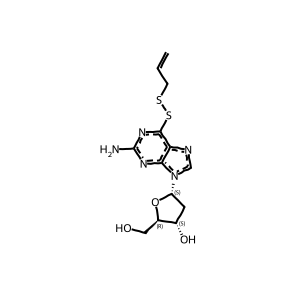 C=CCSSc1nc(N)nc2c1ncn2[C@@H]1C[C@H](O)[C@@H](CO)O1